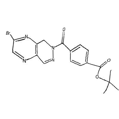 CC(C)(C)OC(=O)c1ccc(C(=O)N2Cc3nc(Br)cnc3C=N2)cc1